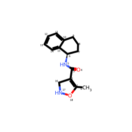 CC1=C(C(=O)N[C@@H]2CCCc3ccccc32)CNO1